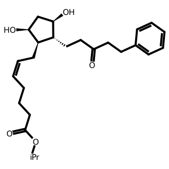 CC(C)OC(=O)CCC/C=C\C[C@@H]1[C@@H](CCC(=O)CCc2ccccc2)[C@H](O)C[C@@H]1O